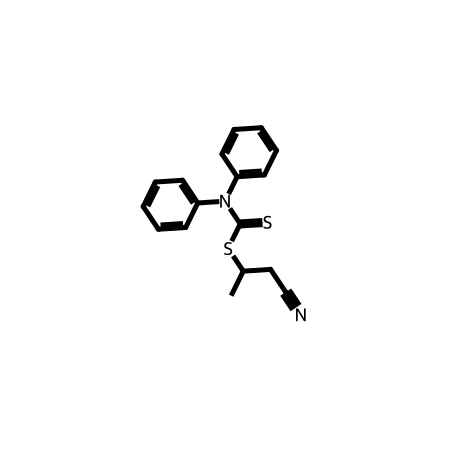 CC(CC#N)SC(=S)N(c1ccccc1)c1ccccc1